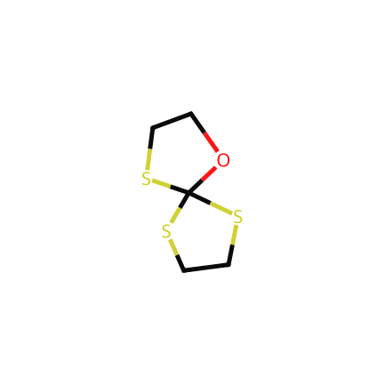 C1CSC2(O1)SCCS2